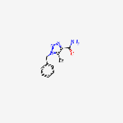 CCc1c(C(N)=O)nnn1Cc1ccccc1